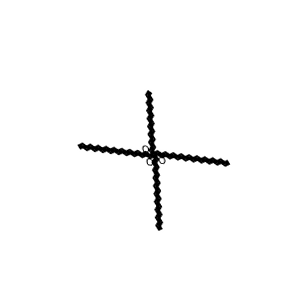 CCCCCCCCCCCCCCCCCC(=O)CC(CCCCCCCCCCCCCCCC)(CC(=O)CCCCCCCCCCCCCCCCC)CC(=O)CCCCCCCCCCCCCCCCC